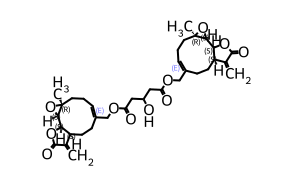 C=C1C(=O)O[C@H]2[C@H]1CC/C(COC(=O)CC(O)CC(=O)OC/C1=C/CC[C@@]3(C)O[C@H]3[C@H]3OC(=O)C(=C)[C@@H]3CC1)=C\CC[C@@]1(C)O[C@@H]21